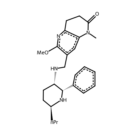 CCC[C@H]1CC[C@H](NCc2cc3c(nc2OC)CCC(=O)N3C)[C@H](c2ccccc2)N1